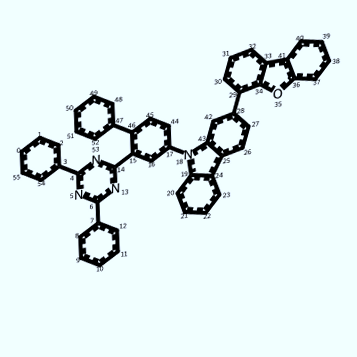 c1ccc(-c2nc(-c3ccccc3)nc(-c3cc(-n4c5ccccc5c5ccc(-c6cccc7c6oc6ccccc67)cc54)ccc3-c3ccccc3)n2)cc1